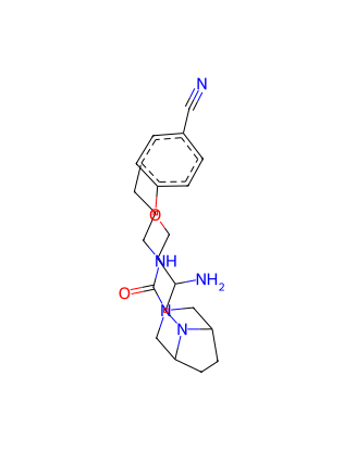 CCCCNC(=O)N1CC2CCC(C1)N2CC(N)CCOc1ccc(C#N)cc1